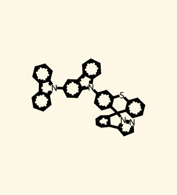 c1ccc2c(c1)Sc1cc(-n3c4ccccc4c4cc(-n5c6ccccc6c6ccccc65)ccc43)ccc1C21c2ccccc2-c2ccnn21